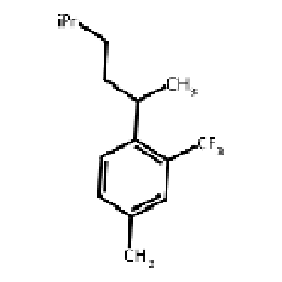 Cc1ccc(C(C)CCC(C)C)c(C(F)(F)F)c1